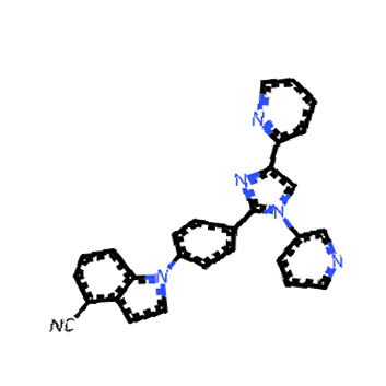 N#Cc1cccc2c1ccn2-c1ccc(-c2nc(-c3ccccn3)cn2-c2cccnc2)cc1